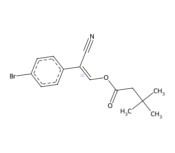 CC(C)(C)CC(=O)O/C=C(\C#N)c1ccc(Br)cc1